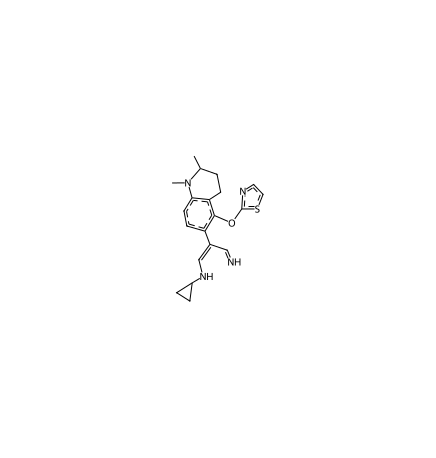 CC1CCc2c(ccc(/C(C=N)=C/NC3CC3)c2Oc2nccs2)N1C